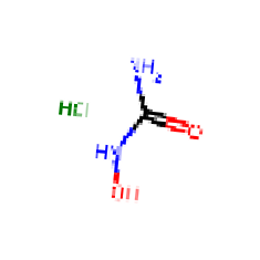 Cl.NC(=O)NO